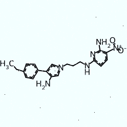 CCc1ccc(-c2cn(CCCNc3ccc([N+](=O)[O-])c(N)n3)cc2N)cc1